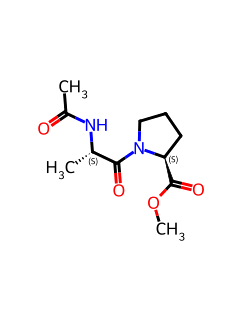 COC(=O)[C@@H]1CCCN1C(=O)[C@H](C)NC(C)=O